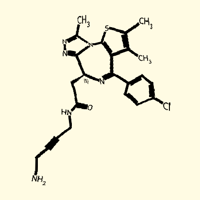 Cc1sc2c(c1C)C(c1ccc(Cl)cc1)=N[C@@H](CC(=O)NCC#CCN)c1nnc(C)n1-2